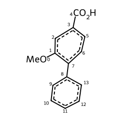 COc1cc(C(=O)O)ccc1-c1ccccc1